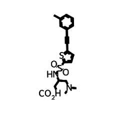 Cc1cccc(C#Cc2ccc(S(=O)(=O)NC(CC(=O)O)CN(C)C)s2)c1